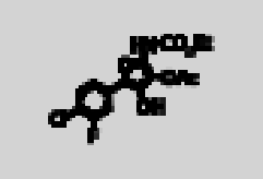 CCOC(=O)Nc1oc(-c2ccc(Cl)c(F)c2)c(O)c1OC(C)=O